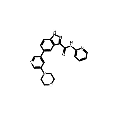 O=C(Nc1ccccn1)c1n[nH]c2ccc(-c3cncc(N4CCOCC4)c3)cc12